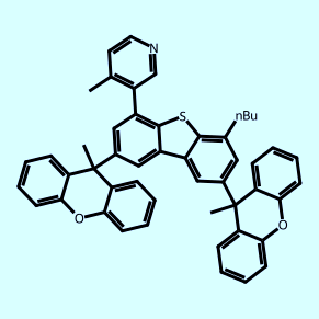 CCCCc1cc(C2(C)c3ccccc3Oc3ccccc32)cc2c1sc1c(-c3cnccc3C)cc(C3(C)c4ccccc4Oc4ccccc43)cc12